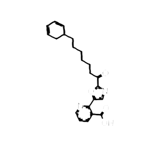 O=C(CCCCCCC1C=CC=CC1)c1ncc(-c2ncccc2C(=O)O)o1